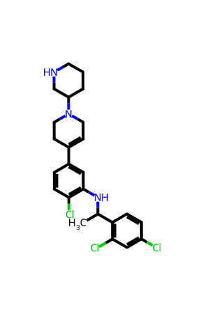 CC(Nc1cc(C2=CCN(C3CCCNC3)CC2)ccc1Cl)c1ccc(Cl)cc1Cl